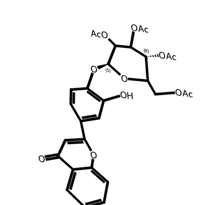 CC(=O)OCC1O[C@@H](Oc2ccc(-c3cc(=O)c4ccccc4o3)cc2O)C(OC(C)=O)C(OC(C)=O)[C@@H]1OC(C)=O